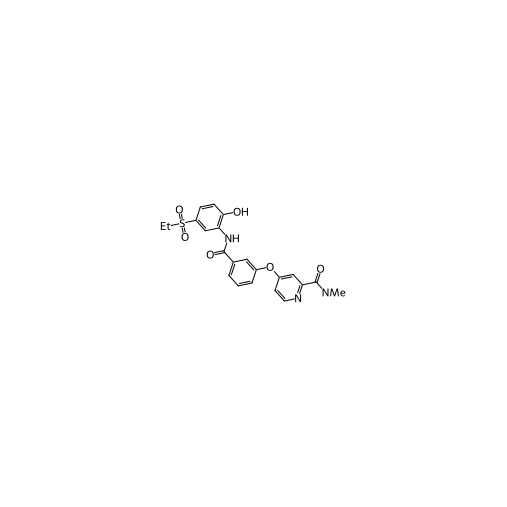 CCS(=O)(=O)c1ccc(O)c(NC(=O)c2cccc(Oc3ccnc(C(=O)NC)c3)c2)c1